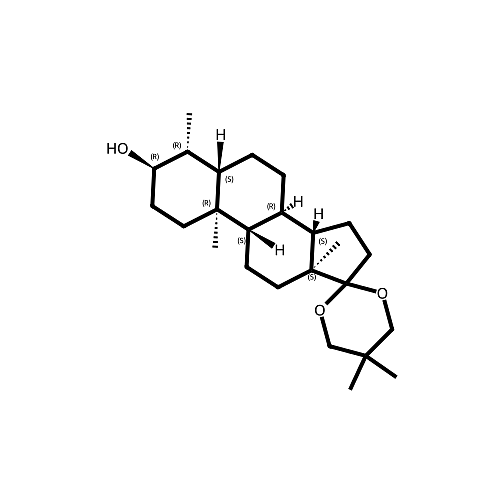 C[C@H]1[C@H](O)CC[C@@]2(C)[C@H]1CC[C@@H]1[C@@H]2CC[C@@]2(C)[C@H]1CCC21OCC(C)(C)CO1